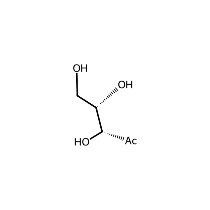 CC(=O)[C@H](O)[C@@H](O)CO